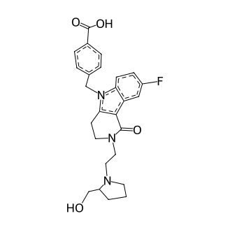 O=C(O)c1ccc(Cn2c3c(c4cc(F)ccc42)C(=O)N(CCN2CCCC2CO)CC3)cc1